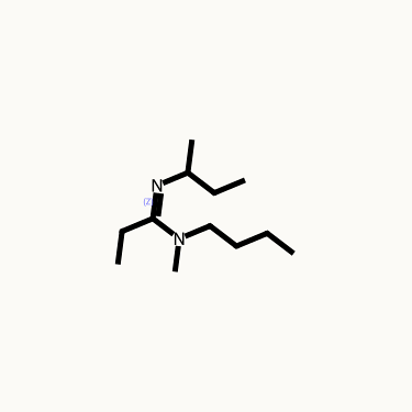 CCCCN(C)/C(CC)=N\C(C)CC